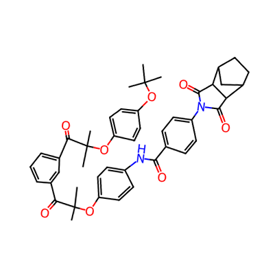 CC(C)(C)Oc1ccc(OC(C)(C)C(=O)c2cccc(C(=O)C(C)(C)Oc3ccc(NC(=O)c4ccc(N5C(=O)C6C7CCC(C7)C6C5=O)cc4)cc3)c2)cc1